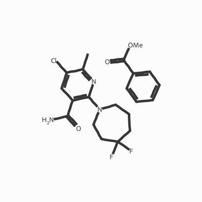 COC(=O)c1ccccc1.Cc1nc(N2CCCC(F)(F)CC2)c(C(N)=O)cc1Cl